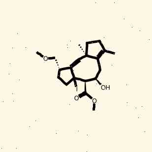 COC[C@H]1CCC2(I)/C1=C\[C@@]1(C)CCC(C)=C1C[C@@H](O)[C@H]2C(=O)OC